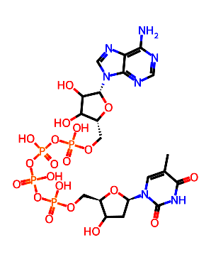 Cc1cn([C@H]2CC(O)[C@@H](COP(=O)(O)OP(=O)(O)OP(=O)(O)OP(=O)(O)OC[C@H]3O[C@@H](n4cnc5c(N)ncnc54)C(O)C3O)O2)c(=O)[nH]c1=O